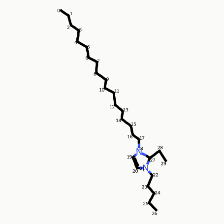 CCCCCCCCCCCCCCCCCCN1C=CN(CCCCC)C1CC